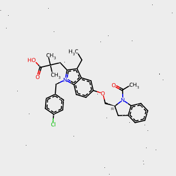 CCc1c(CC(C)(C)C(=O)O)n(Cc2ccc(Cl)cc2)c2ccc(OC[C@@H]3Cc4ccccc4N3C(C)=O)cc12